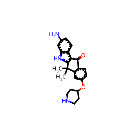 CC1(C)c2cc(OC3CCNCC3)ccc2C(=O)c2c1[nH]c1cc(N)ccc21